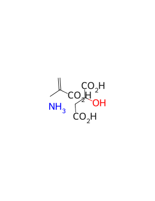 C=C(C)C(=O)O.N.O=C(O)CC(O)C(=O)O